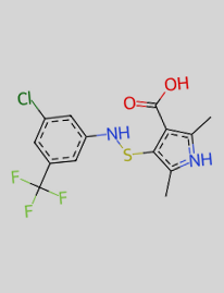 Cc1[nH]c(C)c(C(=O)O)c1SNc1cc(Cl)cc(C(F)(F)F)c1